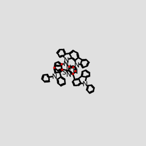 c1ccc(-n2c3ccccc3c3c(-c4nc(-c5cccc6c5c5ccccc5n6-c5ccccc5)nc(-n5c6ccccc6c6ccc7c8ccccc8n(N8c9ccccc9Sc9ccccc98)c7c65)n4)cccc32)cc1